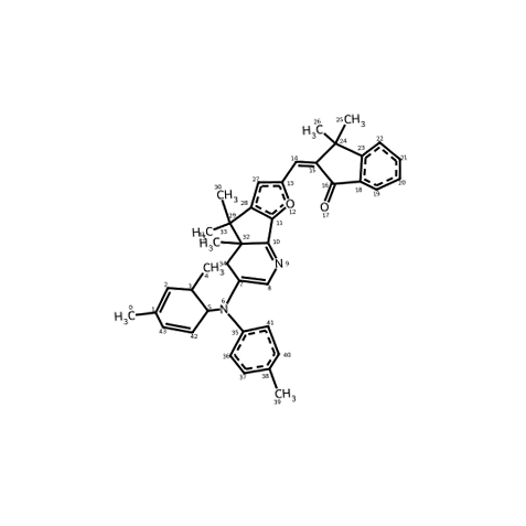 CC1=CC(C)C(N(C2=CN=C3c4oc(/C=C5\C(=O)c6ccccc6C5(C)C)cc4C(C)(C)C3(C)C2)c2ccc(C)cc2)C=C1